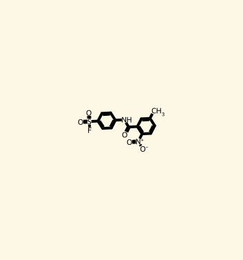 Cc1ccc([N+](=O)[O-])c(C(=O)Nc2ccc(S(=O)(=O)F)cc2)c1